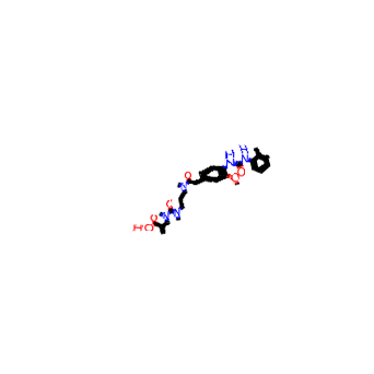 COc1cc(CC(=O)N(C)CCCN(C)C(=O)N(C)CC(C)C(=O)O)ccc1NC(=O)Nc1ccccc1C